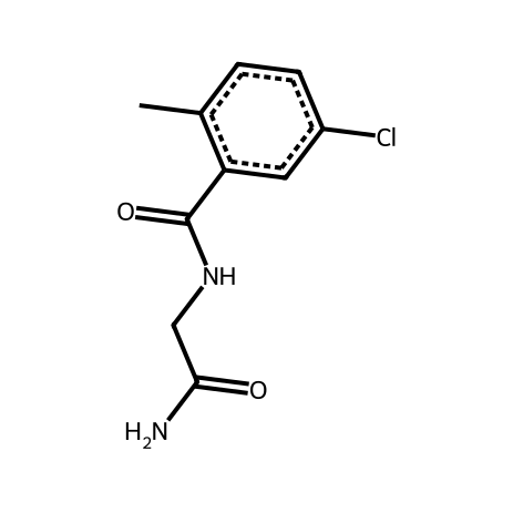 Cc1ccc(Cl)cc1C(=O)NCC(N)=O